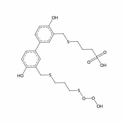 O=S(=O)(O)CCCSCc1cc(-c2ccc(O)c(CSCCCSOOO)c2)ccc1O